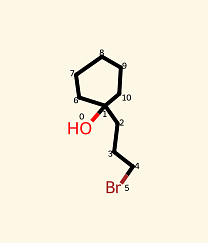 OC1(CCCBr)CCCCC1